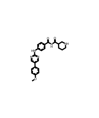 COc1ccc(-c2cnc(Nc3ccc(C(=O)NC(=O)C4CCCNC4)cc3)nc2)cc1